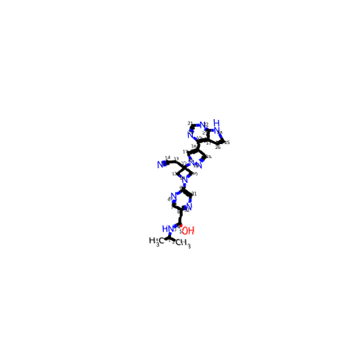 CC(C)NC(O)c1cnc(N2CC(CC#N)(n3cc(-c4ncnc5[nH]ccc45)cn3)C2)cn1